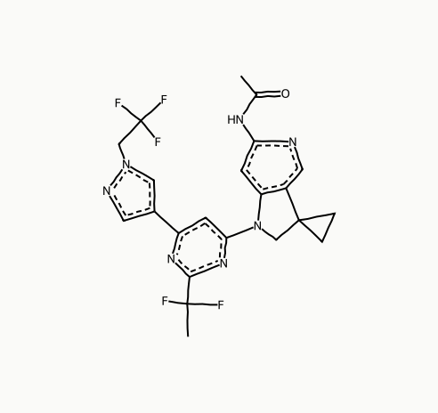 CC(=O)Nc1cc2c(cn1)C1(CC1)CN2c1cc(-c2cnn(CC(F)(F)F)c2)nc(C(C)(F)F)n1